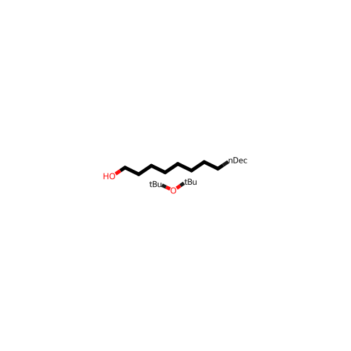 CC(C)(C)OC(C)(C)C.CCCCCCCCCCCCCCCCCCO